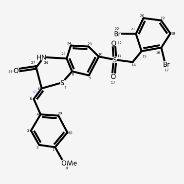 COc1ccc(/C=C2\Sc3cc(S(=O)(=O)Cc4c(Br)cccc4Br)ccc3NC2=O)cc1